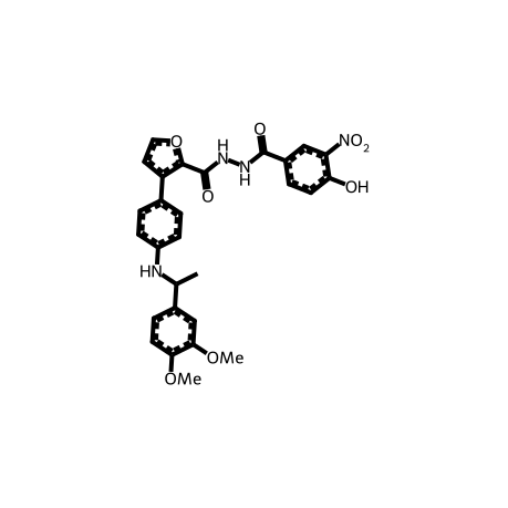 COc1ccc(C(C)Nc2ccc(-c3ccoc3C(=O)NNC(=O)c3ccc(O)c([N+](=O)[O-])c3)cc2)cc1OC